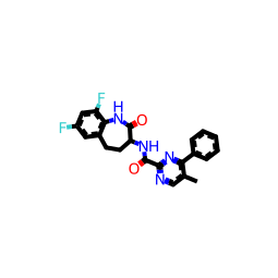 Cc1cnc(C(=O)NC2CCc3cc(F)cc(F)c3NC2=O)nc1-c1ccccc1